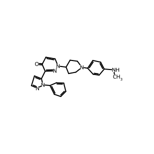 CNc1ccc(N2CCC(n3ccc(=O)c(-c4ccnn4-c4ccccc4)n3)CC2)cc1